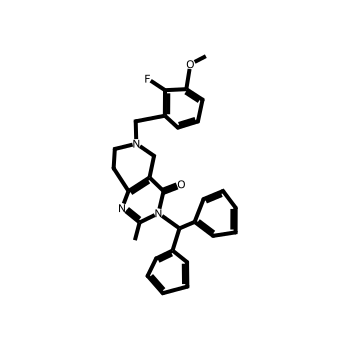 COc1cccc(CN2CCc3nc(C)n(C(c4ccccc4)c4ccccc4)c(=O)c3C2)c1F